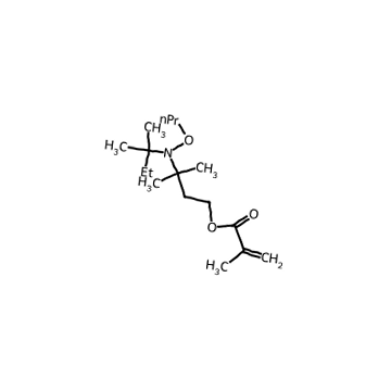 C=C(C)C(=O)OCCC(C)(C)N(OCCC)C(C)(C)CC